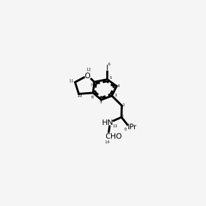 CC(C)C(Cc1cc(I)c2c(c1)CCO2)NC=O